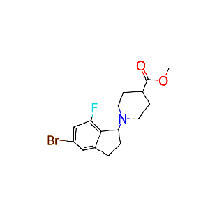 COC(=O)C1CCN(C2CCc3cc(Br)cc(F)c32)CC1